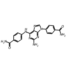 NC(=O)c1ccc(Nc2nc(N)nc3c2ncn3-c2ccc(C(N)=O)cc2)cc1